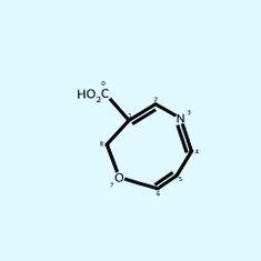 O=C(O)/C1=C/N=C\C=COC1